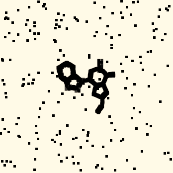 C=CC1=CC2=C(C1)C(n1nnc3ccccc31)=CNC2=C